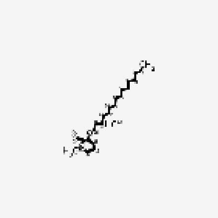 CCCCCCCCCCCCCCCCOC1=CC=CN(C)C1=C=O.Cl